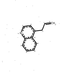 C=CCc1ccnc2ccccc12